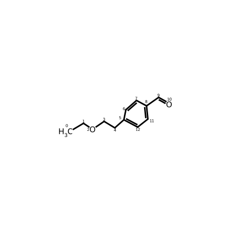 CCOCCc1ccc(C=O)cc1